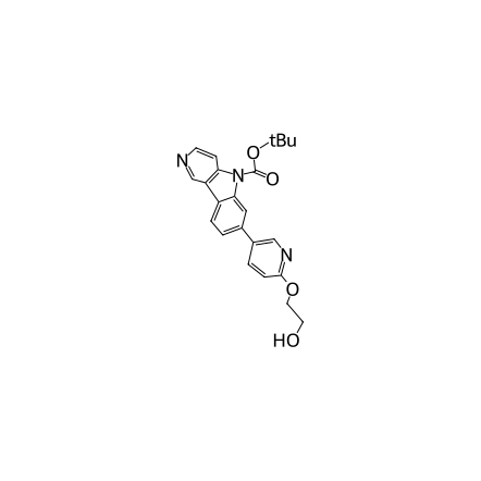 CC(C)(C)OC(=O)n1c2ccncc2c2ccc(-c3ccc(OCCO)nc3)cc21